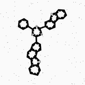 c1ccc(-c2nc(-c3ccc4c(ccc5c6ccccc6sc45)c3)nc(-c3ccc4c(c3)oc3ccccc34)n2)cc1